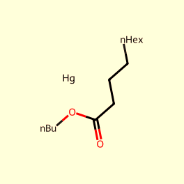 CCCCCCCCCC(=O)OCCCC.[Hg]